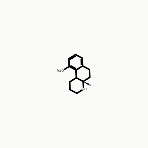 COc1cccc2c1C1CCCN[C@H]1CC2